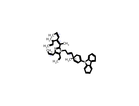 C=CC(=C)C(/C=C\C)=C(/C)c1nc(/C=C\C)c(C=C)n1C/C=C/[C@@]1(C)C=CC(n2c3ccccc3c3ccccc32)=CC1